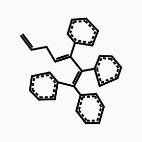 C=CCC=C(C(=C(c1ccccc1)c1ccccc1)c1ccccc1)c1ccccc1